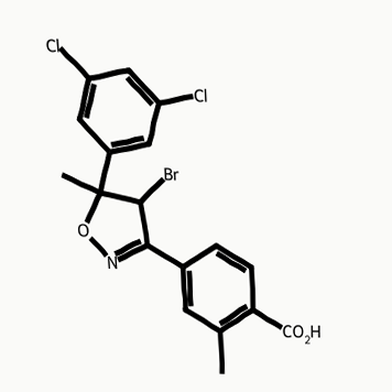 Cc1cc(C2=NOC(C)(c3cc(Cl)cc(Cl)c3)C2Br)ccc1C(=O)O